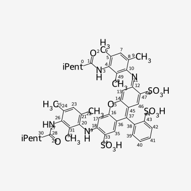 CCCC(C)C(=O)Nc1c(C)cc(C)c(/N=c2\cc3oc4cc(Nc5c(C)cc(C)c(NC(=O)C(C)CCC)c5C)c(S(=O)(=O)O)cc4c(-c4ccccc4S(=O)(=O)O)c-3cc2S(=O)(=O)O)c1C